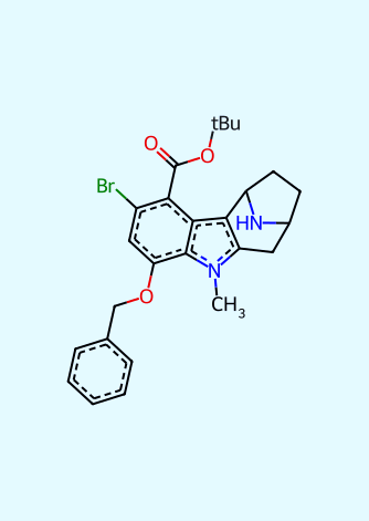 Cn1c2c(c3c(C(=O)OC(C)(C)C)c(Br)cc(OCc4ccccc4)c31)C1CCC(C2)N1